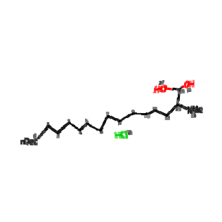 CCCCCCCCCCCCCCCCCCCCCCC(NC)C(O)O.Cl